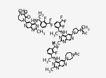 CC(=O)N(C)C1CCN(c2cc3c(N[C@H](C)c4cccc(C(F)F)c4F)nc(C)nc3cn2)C1.CC(=O)N1CCCN(c2cc3c(N[C@H](C)c4cccc(C(F)F)c4F)nc(C)nc3cn2)CC1.Cc1nc(N[C@H](C)c2cccc(C(F)F)c2F)c2cc(N3CCCN(C)C(=O)C3=O)ncc2n1